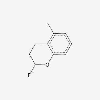 Cc1cccc2c1CCC(F)O2